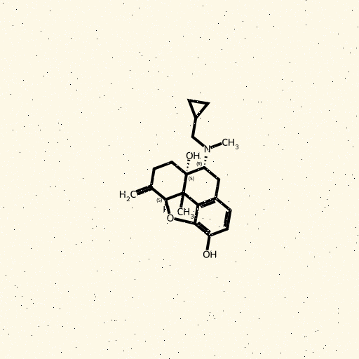 C=C1CC[C@@]2(O)[C@H](N(C)CC3CC3)Cc3ccc(O)c4c3C2(C)[C@H]1O4